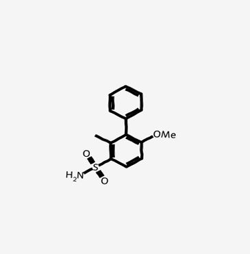 COc1ccc(S(N)(=O)=O)c(C)c1-c1ccccc1